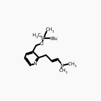 CN(C)/C=C/Cc1ncccc1CO[Si](C)(C)C(C)(C)C